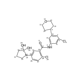 O=C(Nc1cc(Cl)cc(C2CCOCC2)c1)c1cc(N2CCCS2(O)O)ccc1Cl